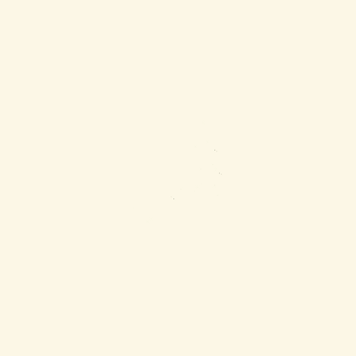 O=C(/C=C1\SC(Nc2c(Cl)cccc2Cl)=NC1=O)NCc1ccc(Cl)cc1